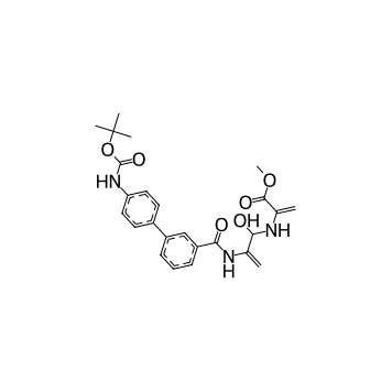 C=C(NC(O)C(=C)NC(=O)c1cccc(-c2ccc(NC(=O)OC(C)(C)C)cc2)c1)C(=O)OC